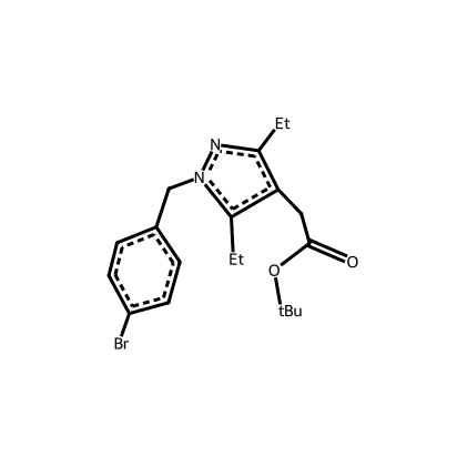 CCc1nn(Cc2ccc(Br)cc2)c(CC)c1CC(=O)OC(C)(C)C